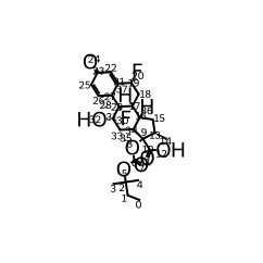 CCC(C)(C)OC(=O)O[C@]1(C(=O)O)[C@H](C)C[C@H]2[C@@H]3C[C@H](F)C4=CC(=O)C=C[C@]4(C)[C@@]3(F)[C@@H](O)C[C@@]21C